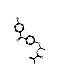 C=C(C)C(=O)OC(C)Oc1ccc(C(=O)c2ccc(Br)cc2)cc1